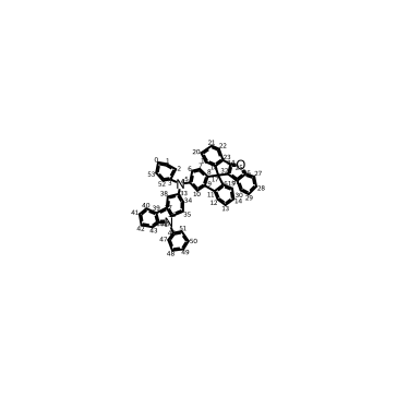 c1ccc(N(c2ccc3c(c2)-c2ccccc2C32c3ccccc3-c3oc4ccccc4c32)c2ccc3c(c2)c2ccccc2n3-c2ccccc2)cc1